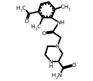 CC(=O)c1ccc(C)c(NC(=O)CN2CCNC(C(N)=O)C2)c1C